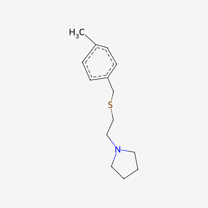 Cc1ccc(CSCCN2CCCC2)cc1